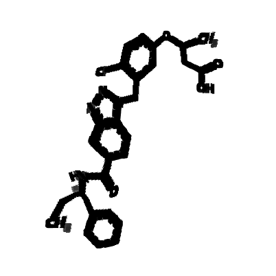 CC[C@@H](NC(=O)c1ccc2c(c1)nnn2Cc1cc(OC(C)CC(=O)O)ccc1Cl)c1ccccc1